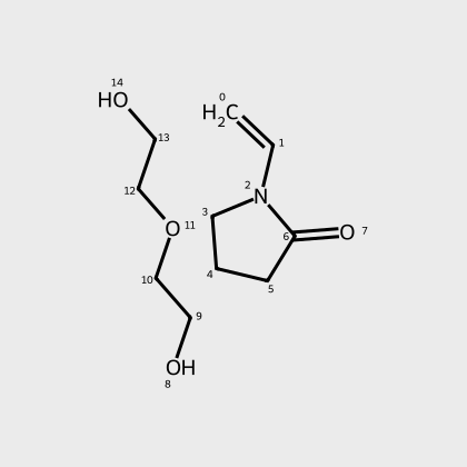 C=CN1CCCC1=O.OCCOCCO